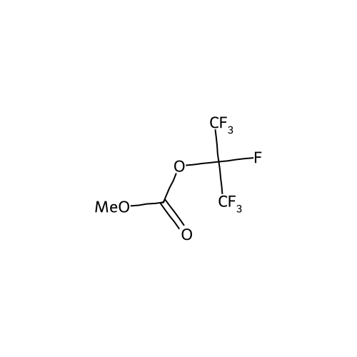 COC(=O)OC(F)(C(F)(F)F)C(F)(F)F